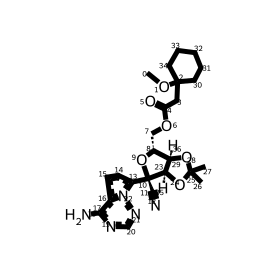 COC1(CC(=O)OC[C@H]2O[C@@](C#N)(c3ccc4c(N)ncnn34)[C@@H]3OC(C)(C)O[C@@H]32)CCCCC1